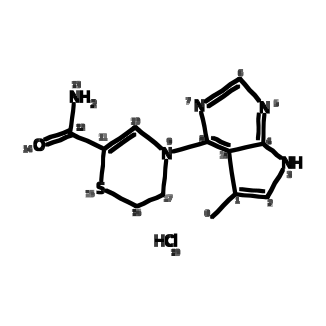 Cc1c[nH]c2ncnc(N3C=C(C(N)=O)SCC3)c12.Cl